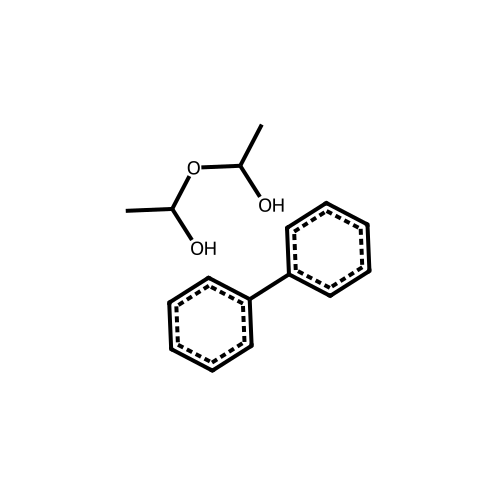 CC(O)OC(C)O.c1ccc(-c2ccccc2)cc1